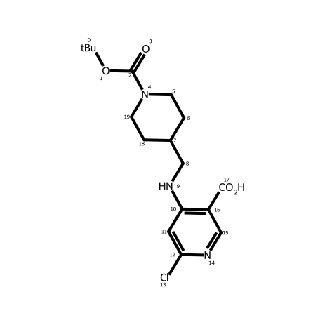 CC(C)(C)OC(=O)N1CCC(CNc2cc(Cl)ncc2C(=O)O)CC1